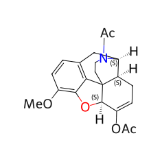 COc1ccc2c3c1O[C@@H]1C(OC(C)=O)=CC[C@@H]4[C@H](C2)N(C(C)=O)CCC314